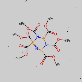 CCCOC(=O)N1P(C(=O)OCCC)N=P(C(=O)OCCC)(C(=O)OCCC)N(C(=O)OCCC)P1C(=O)OCCC